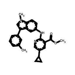 COC(=O)c1cc(C2CC2)cnc1Nc1ccc2c(c1)c(-c1cccc(C)c1)cn2C